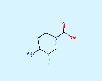 NC1CCN(C(=O)O)C[C@@H]1F